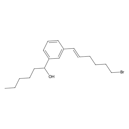 CCCCCC(O)c1cccc(C=CCCCCBr)c1